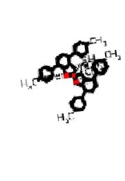 CCCCCC1=Cc2c(-c3ccc(C)cc3)ccc(-c3ccc(C)cc3)c2[CH]1[Zr]([CH3])([CH3])(=[SiH2])[CH]1C(CCCCC)=Cc2c(-c3ccc(C)cc3)ccc(-c3ccc(C)cc3)c21